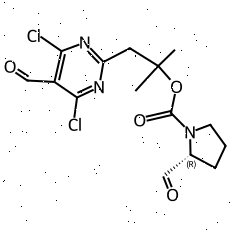 CC(C)(Cc1nc(Cl)c(C=O)c(Cl)n1)OC(=O)N1CCC[C@@H]1C=O